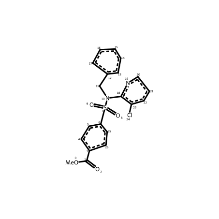 COC(=O)c1ccc(S(=O)(=O)N(Cc2ccccc2)c2ncccc2Cl)cc1